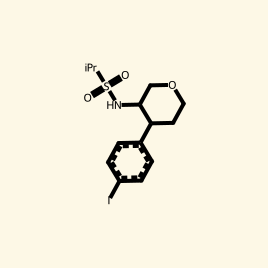 CC(C)S(=O)(=O)NC1COCCC1c1ccc(I)cc1